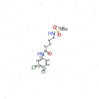 CC(C)(C)S(=O)(=O)NCCCCC(=O)Nc1ccc(Cl)c(Cl)c1